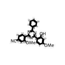 COc1ccc(-c2nc(-c3ccccc3)nc(-c3ccc(C#N)cc3OC)n2)c(O)c1